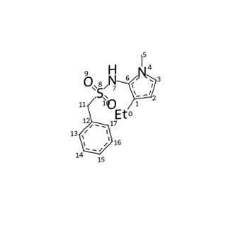 CCc1ccn(C)c1NS(=O)(=O)Cc1ccccc1